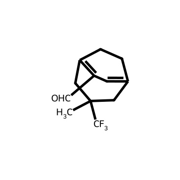 CC1(C(F)(F)F)CC2=CC(C=O)=C(CC2)C1